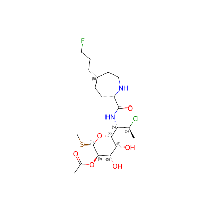 CS[C@H]1O[C@H]([C@H](NC(=O)C2CC[C@H](CCCF)CCN2)[C@H](C)Cl)[C@H](O)[C@H](O)[C@H]1OC(C)=O